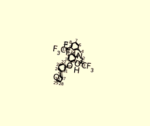 O[C@H](CN(Cc1cccc(C(F)(F)C(F)(F)F)c1)c1cccc(Oc2cccc(-c3ccco3)c2)c1)C(F)(F)F